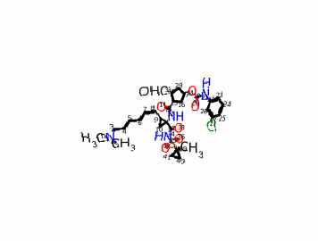 CN(C)CCCC/C=C\[C@@H]1C[C@]1(NC(=O)[C@@H]1C[C@@H](OC(=O)Nc2cccc(Cl)c2)C[C@H]1C=O)C(=O)NS(=O)(=O)C1(C)CC1